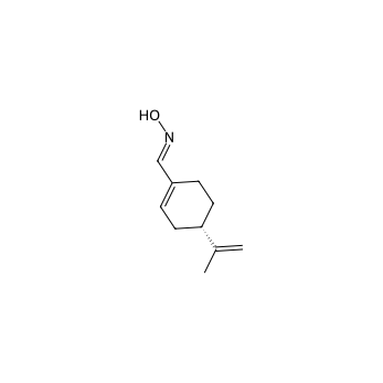 C=C(C)[C@@H]1CC=C(C=NO)CC1